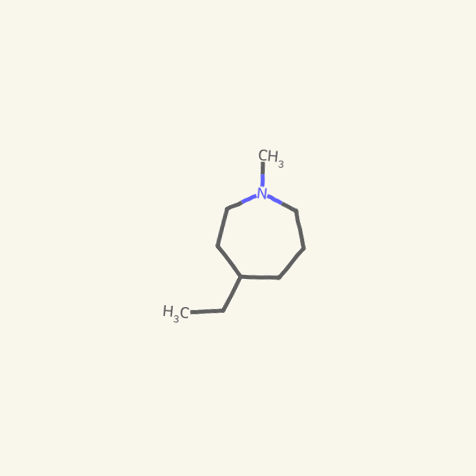 CCC1CCCN(C)CC1